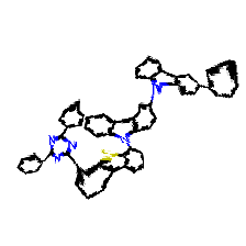 c1ccc(-c2ccc3c(c2)c2ccccc2n3-c2ccc3c(c2)c2ccccc2n3-c2cccc3c2sc2c(-c4nc(-c5ccccc5)nc(-c5ccccc5)n4)cccc23)cc1